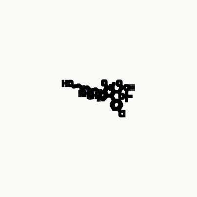 Cn1c(C(OC(C)(C)C)C(=O)O)c(-c2ccc(Cl)cc2)c2ccn(C/C(N)=C/N(N)CCO)c2c1=O